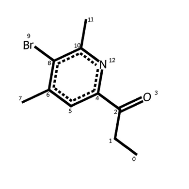 CCC(=O)c1cc(C)c(Br)c(C)n1